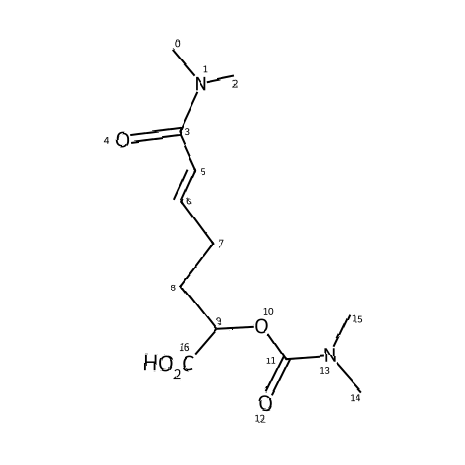 CN(C)C(=O)/C=C/CCC(OC(=O)N(C)C)C(=O)O